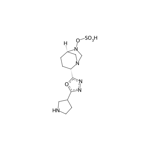 O=S(=O)(O)ON1CN2C[C@H]1CC[C@H]2c1nnc(C2CCNC2)o1